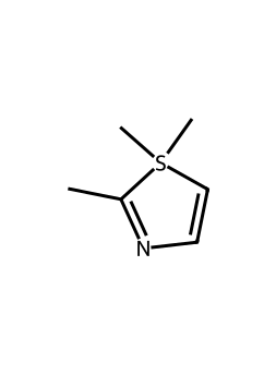 CC1=NC=CS1(C)C